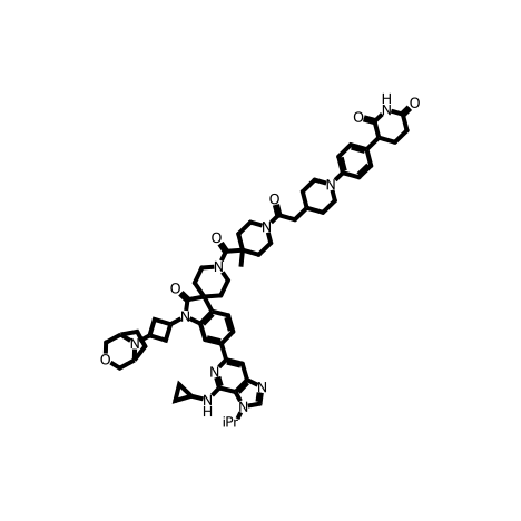 CC(C)n1cnc2cc(-c3ccc4c(c3)N(C3CC(N5C6CCC5COC6)C3)C(=O)C43CCN(C(=O)C4(C)CCN(C(=O)CC5CCN(c6ccc(C7CCC(=O)NC7=O)cc6)CC5)CC4)CC3)nc(NC3CC3)c21